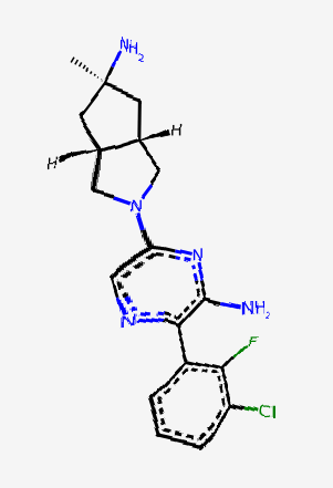 C[C@@]1(N)C[C@H]2CN(c3cnc(-c4cccc(Cl)c4F)c(N)n3)C[C@H]2C1